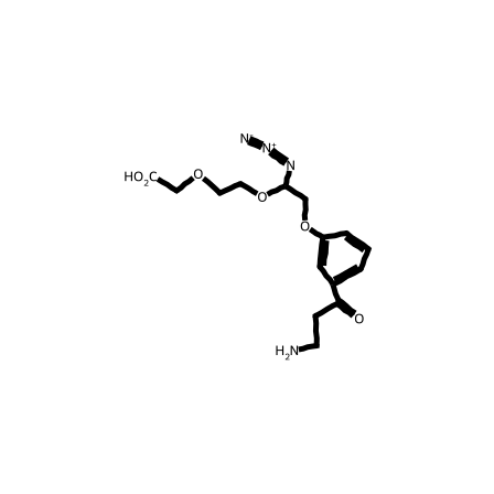 [N-]=[N+]=NC(COc1cccc(C(=O)CCN)c1)OCCOCC(=O)O